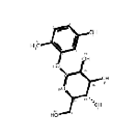 Cc1ccc(O)cc1O[C@@H]1OC(CO)[C@@H](O)C(O)C1O